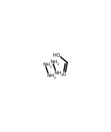 NN.NN.O=CO